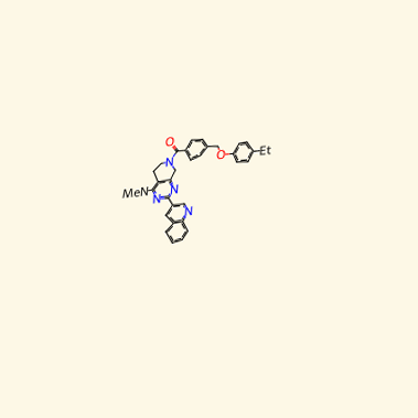 CCc1ccc(OCc2ccc(C(=O)N3CCc4c(nc(-c5cnc6ccccc6c5)nc4NC)C3)cc2)cc1